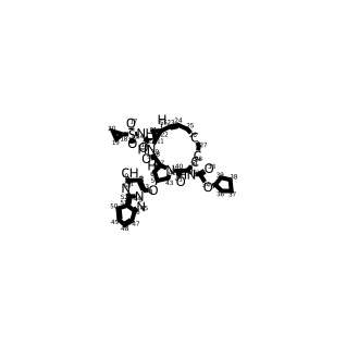 Cc1cc(O[C@@H]2C[C@H]3C(=O)N[C@]4(C(=O)NS(=O)(=O)C5CC5)C[C@H]4/C=C\CCCCC[C@H](NC(=O)OC4CCCC4)C(=O)N3C2)n2nc3ccccc3c2n1